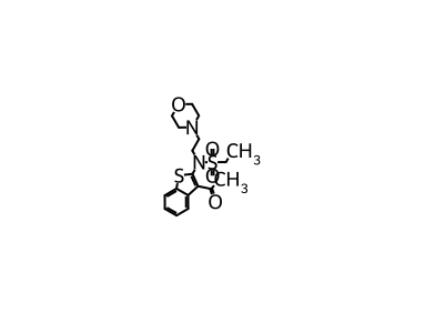 CCS(=O)(=O)N(CCN1CCOCC1)c1sc2ccccc2c1C(C)=O